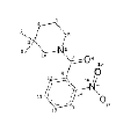 CC1(C)CCCN(C(=O)c2ccccc2[N+](=O)[O-])C1